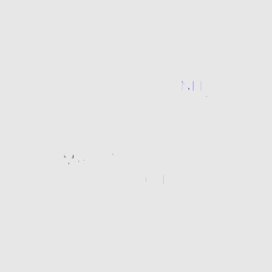 CO[SiH](C)CCN